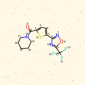 O=C(c1ccc(-c2noc(C(F)(F)F)n2)s1)N1CCCCC1